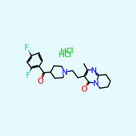 Cc1nc2n(c(=O)c1CCN1CCC(C(=O)c3ccc(F)cc3F)CC1)CCCC2.Cl.Cl